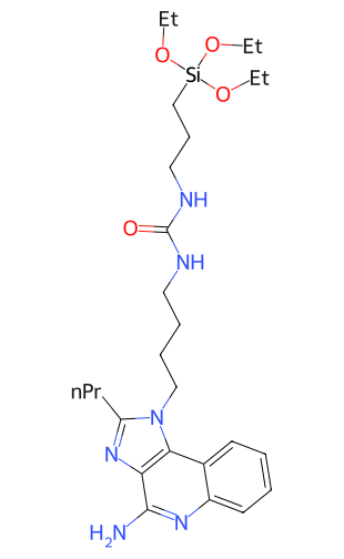 CCCc1nc2c(N)nc3ccccc3c2n1CCCCNC(=O)NCCC[Si](OCC)(OCC)OCC